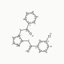 O=C(Cc1nccn1CC(=O)c1ccccc1)c1cccc(Cl)c1